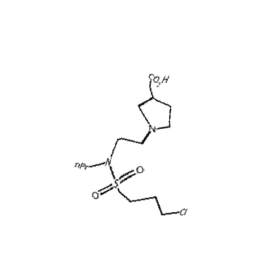 CCCN(CCN1CCC(C(=O)O)C1)S(=O)(=O)CCCCl